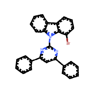 Brc1cccc2c3ccccc3n(-c3nc(-c4ccccc4)cc(-c4ccccc4)n3)c12